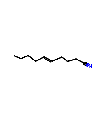 CCCC/C=C/CCCC#N